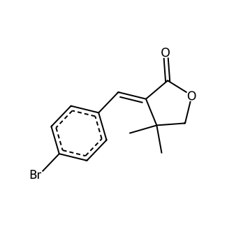 CC1(C)COC(=O)/C1=C/c1ccc(Br)cc1